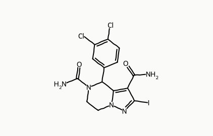 NC(=O)c1c(I)nn2c1C(c1ccc(Cl)c(Cl)c1)N(C(N)=O)CC2